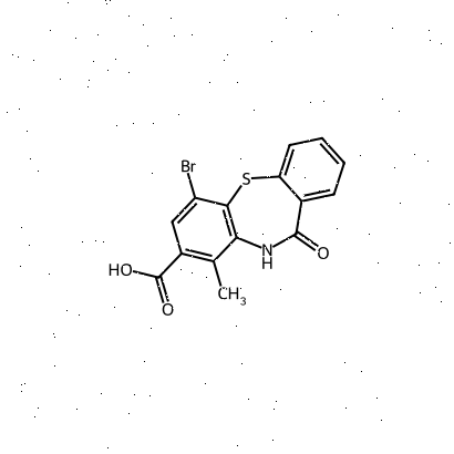 Cc1c(C(=O)O)cc(Br)c2c1NC(=O)c1ccccc1S2